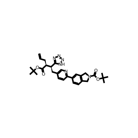 C=CC[C@H](C(=O)OC(C)(C)C)[C@H](Cc1ccc(-c2ccc3c(c2)CN(C(=O)OC(C)(C)C)C3)nc1)c1nnn[nH]1